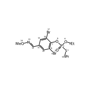 CCCSP(=O)(OCC)Oc1c(Br)cc(C=NOC)cc1Br